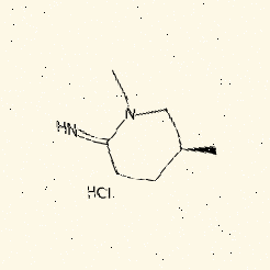 C[C@H]1CCC(=N)N(C)C1.Cl